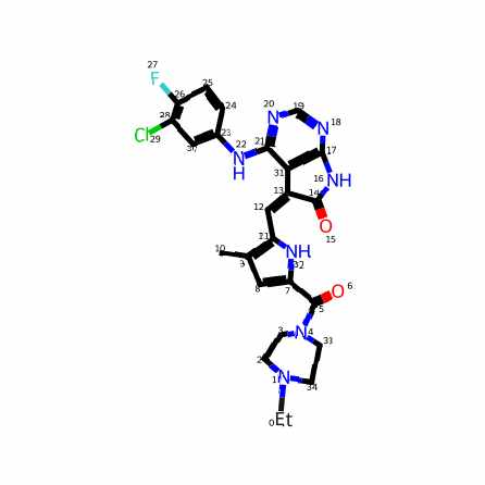 CCN1CCN(C(=O)c2cc(C)c(C=C3C(=O)Nc4ncnc(Nc5ccc(F)c(Cl)c5)c43)[nH]2)CC1